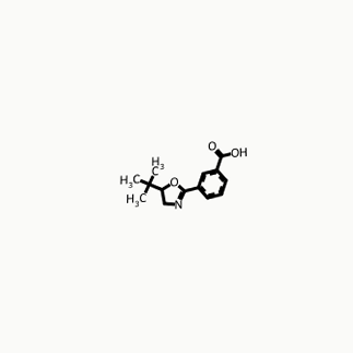 CC(C)(C)C1CN=C(c2cccc(C(=O)O)c2)O1